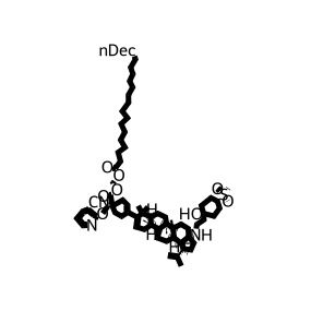 C=C(C)[C@@H]1CC[C@]2(NCC[C@]3(O)CC[C@@H](S(C)(=O)=O)CC3)CC[C@]3(C)[C@H](CC[C@@H]4[C@@]5(C)CC=C(C6=CC[C@@](COc7ncccc7C#N)(C(=O)OCOC(=O)CCCCCCCCCCCCCCCCCCCCCCCCC)CC6)C(C)(C)[C@@H]5CC[C@]43C)[C@@H]12